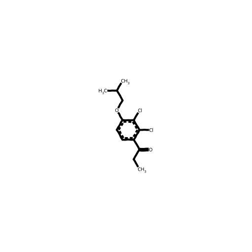 CCC(=O)c1ccc(OCC(C)C)c(Cl)c1Cl